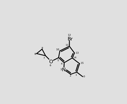 Cc1cnc2c(OC3CC3)cc(Br)cc2c1